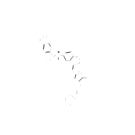 COc1ccc2c(c1)CCN2S(=O)(=O)c1ccc2c(c1)/C(=C/c1[nH]c(C)c(CCCN3CCOCC3)c1C)C(=O)N2